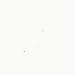 O=C(c1[nH]cnc1-c1ccccc1)N1CCC(O)(CO)CC1